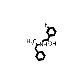 C[C@H](Cc1ccccc1)NC[C@H](O)c1cccc(F)c1